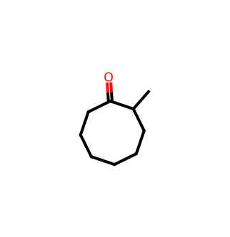 CC1CCCCCCC1=O